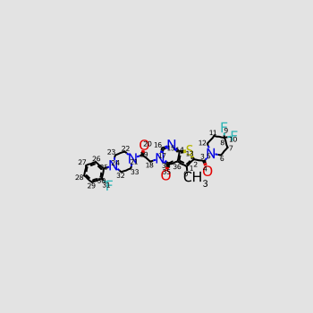 Cc1c(C(=O)N2CCC(F)(F)CC2)sc2ncn(CC(=O)N3CCN(c4ccccc4F)CC3)c(=O)c12